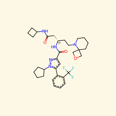 O=C(C[C@H](CCN1CCCCC12COC2)NC(=O)c1cc(-c2ccccc2C(F)(F)F)n(C2CCCC2)n1)NC1CCC1